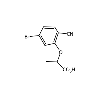 CC(Oc1cc(Br)ccc1C#N)C(=O)O